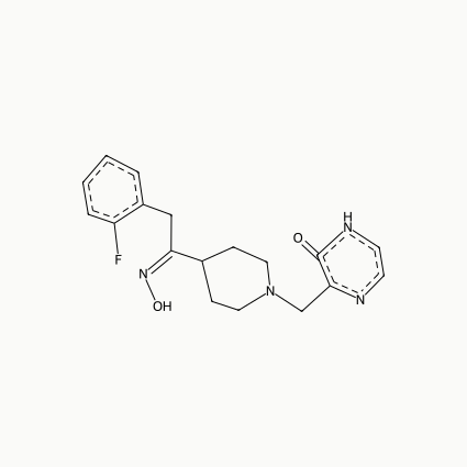 O=c1[nH]ccnc1CN1CCC(C(Cc2ccccc2F)=NO)CC1